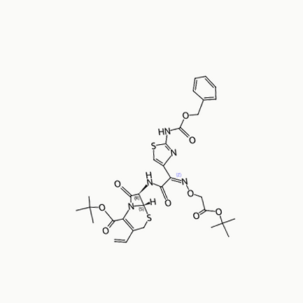 C=CC1=C(C(=O)OC(C)(C)C)N2C(=O)[C@@H](NC(=O)/C(=N\OCC(=O)OC(C)(C)C)c3csc(NC(=O)OCc4ccccc4)n3)[C@@H]2SC1